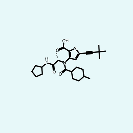 CC1CCC(C(=O)N(c2cc(C#CC(C)(C)C)sc2C(=O)O)[C@@H](C)C(=O)NC2CCCC2)CC1